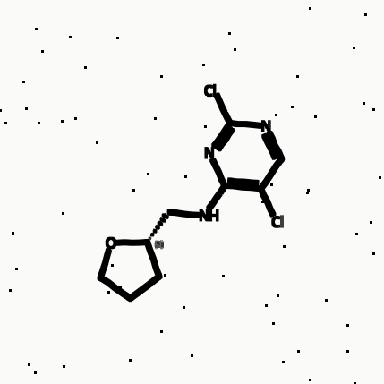 Clc1ncc(Cl)c(NC[C@@H]2CCCO2)n1